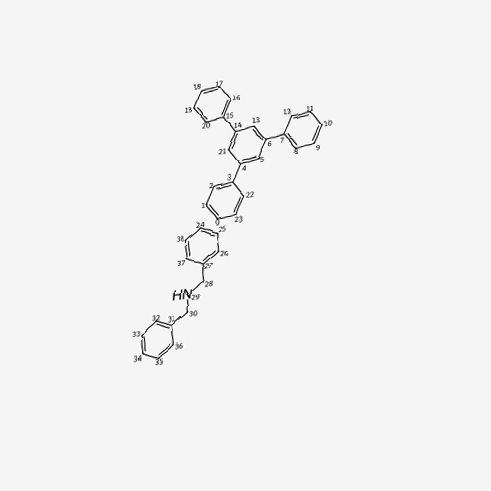 c1ccc(-c2cc(-c3ccccc3)cc(-c3ccccc3)c2)cc1.c1ccc(CNCc2ccccc2)cc1